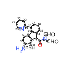 CCCCc1c(N)ccc2c1C(C(=O)N(C=O)C=O)c1cccc(-c3ccccn3)c1-2